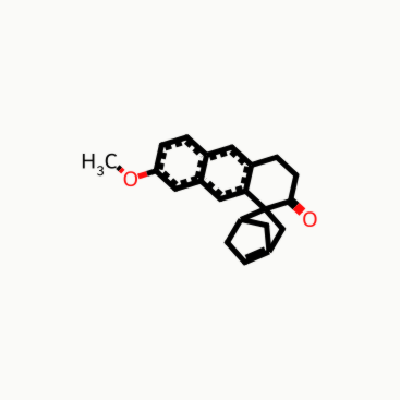 COc1ccc2cc3c(cc2c1)C1(CC2=CCC1C2)C(=O)CC3